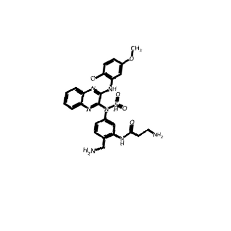 COc1ccc(Cl)c(Nc2nc3ccccc3nc2N(c2ccc(CN)c(NC(=O)CCN)c2)[SH](=O)=O)c1